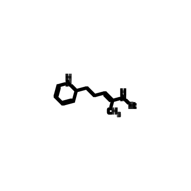 CCN/C(C)=C/CCC1C=CC=CN1